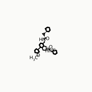 COc1cccc(-c2ccc(CNC(=O)[C@@H]3C[C@H]3c3ccccc3)c3c2CCN(C(=O)Nc2ccccn2)C3)c1